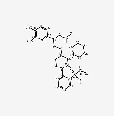 CNCC(CCN1CC[C@H](c2ccccc2S(=O)(=O)NC)C[C@H]1N1CCCCC1)c1ccc(Cl)c(Cl)c1